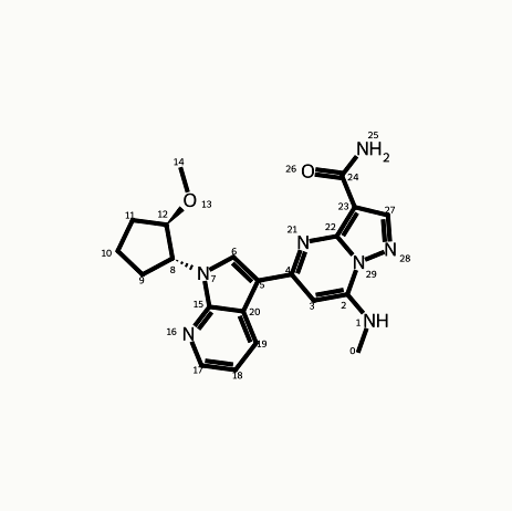 CNc1cc(-c2cn([C@@H]3CCC[C@H]3OC)c3ncccc23)nc2c(C(N)=O)cnn12